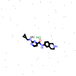 CCCN(CC1CC1)c1nccc(C(=O)Nc2ccc3c(c2)CCNC3)n1.Cl